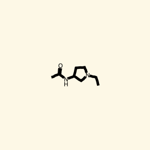 CCN1CCC(NC(C)=O)C1